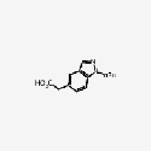 CCCCn1ncc2cc(CC(=O)O)ccc21